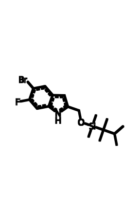 CC(C)C(C)(C)[Si](C)(C)OCc1cc2cc(Br)c(F)cc2[nH]1